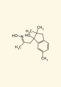 CC(CC1(O)c2cc(C)ccc2CC1(C)C)=NO